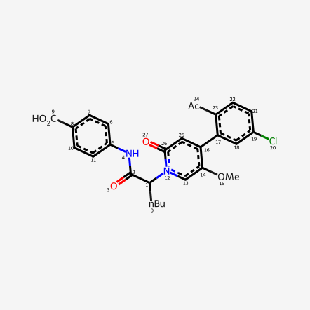 CCCCC(C(=O)Nc1ccc(C(=O)O)cc1)n1cc(OC)c(-c2cc(Cl)ccc2C(C)=O)cc1=O